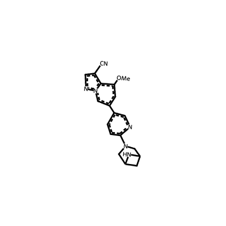 COc1cc(-c2ccc(N3CC4CC(C3)N4)nc2)cn2ncc(C#N)c12